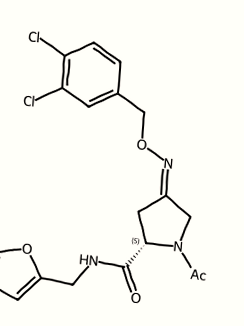 CC(=O)N1CC(=NOCc2ccc(Cl)c(Cl)c2)C[C@H]1C(=O)NCc1ccco1